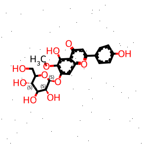 COc1c(O[C@@H]2OC(CO)[C@@H](O)C(O)[C@@H]2O)cc2oc(-c3ccc(O)cc3)cc(=O)c2c1O